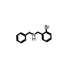 Brc1ccccc1CN[CH]c1ccccc1